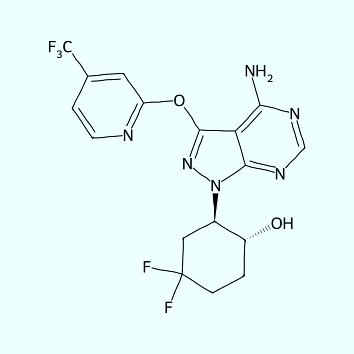 Nc1ncnc2c1c(Oc1cc(C(F)(F)F)ccn1)nn2[C@@H]1CC(F)(F)CC[C@H]1O